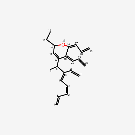 C=C/C=C\C=C(/C=C)C(C)C1=CC(CC)OC(=C/C=C)/C1=C\C=C